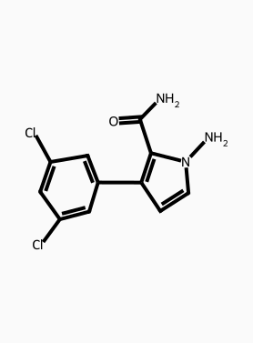 NC(=O)c1c(-c2cc(Cl)cc(Cl)c2)ccn1N